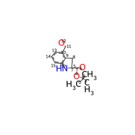 CC(C)(C)OC(=O)C1Cc2c(C=O)cccc2N1